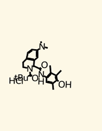 Cc1cc(NC(=O)C2c3cc(N(C)C)ccc3CCN2C(=O)C(C)(C)C)c(C)c(C)c1O.Cl